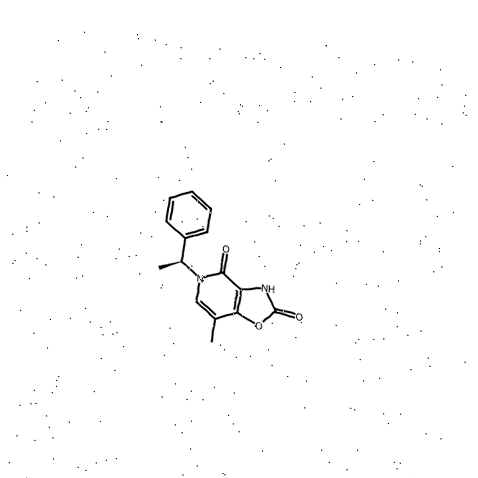 Cc1cn([C@@H](C)c2ccccc2)c(=O)c2[nH]c(=O)oc12